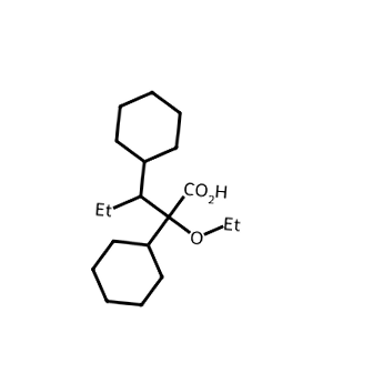 CCOC(C(=O)O)(C1CCCCC1)C(CC)C1CCCCC1